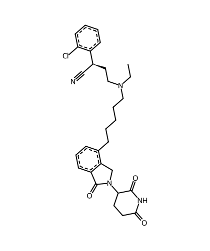 CCN(CCCCCc1cccc2c1CN(C1CCC(=O)NC1=O)C2=O)CC[C@@H](C#N)c1ccccc1Cl